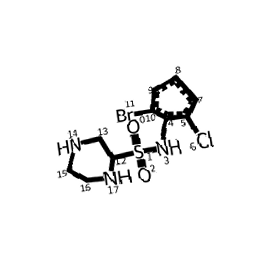 O=S(=O)(Nc1c(Cl)cccc1Br)C1CNCCN1